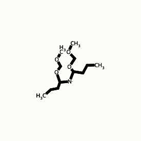 CCCC([N]C(CCC)OCOC)OCOC